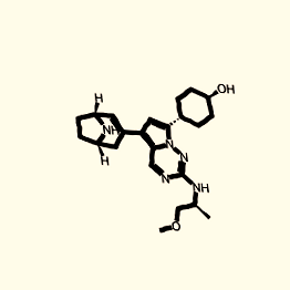 COC[C@H](C)Nc1ncc2c(C3=C[C@H]4CC[C@@H](C3)N4)cc([C@H]3CC[C@H](O)CC3)n2n1